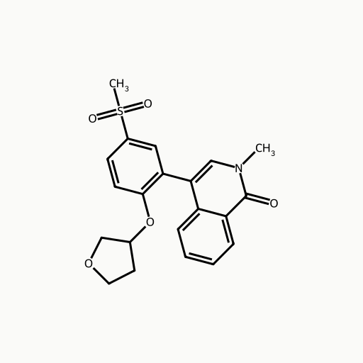 Cn1cc(-c2cc(S(C)(=O)=O)ccc2OC2CCOC2)c2ccccc2c1=O